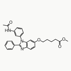 COC(=O)CCCCOc1ccc2nc(-c3ccccc3)n(-c3cccc(NC(C)=O)c3)c2c1